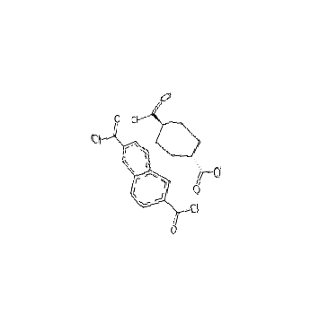 O=C(Cl)[C@H]1CC[C@H](C(=O)Cl)CC1.O=C(Cl)c1ccc2cc(C(=O)Cl)ccc2c1